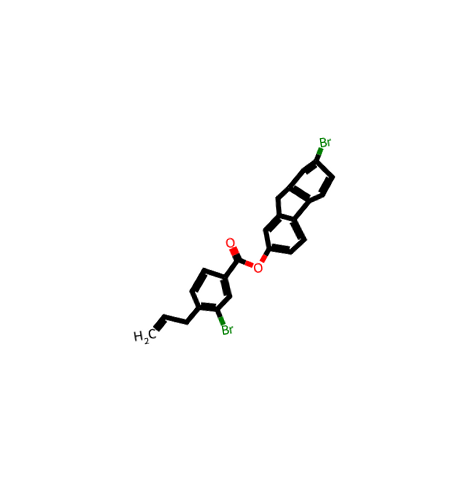 C=CCc1ccc(C(=O)Oc2ccc3c(c2)Cc2cc(Br)ccc2-3)cc1Br